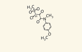 COc1ccc(N(C)C(=O)C(=O)[C@@H](Cl)S(C)(=O)=O)cc1